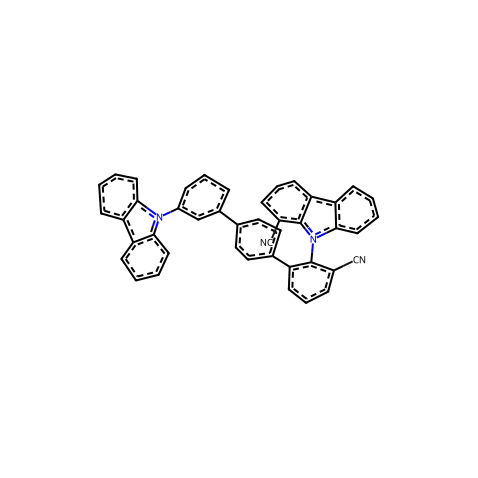 N#Cc1cccc(-c2ccc(-c3cccc(-n4c5ccccc5c5ccccc54)c3)cc2)c1-n1c2ccccc2c2cccc(C#N)c21